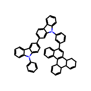 C1=CC2c3c(cc(-c4cccc(-n5c6ccccc6c6ccc(-c7ccc8c(c7)c7ccccc7n8-c7ccccc7)cc65)c4)c4ccccc34)C3CCC=CC3C2C=C1